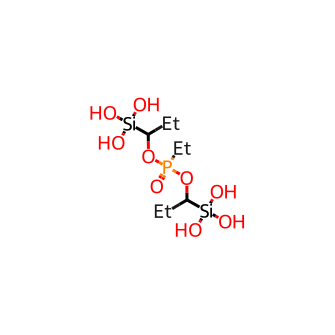 CCC(OP(=O)(CC)OC(CC)[Si](O)(O)O)[Si](O)(O)O